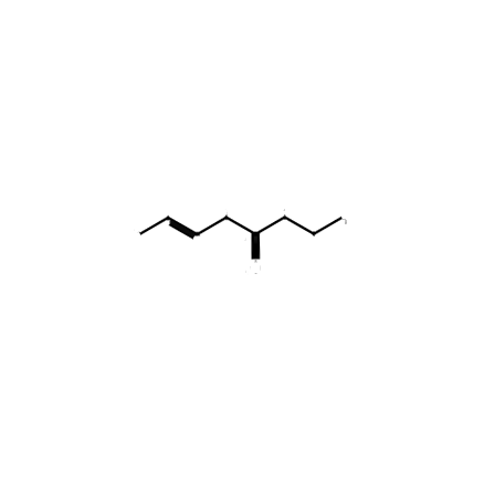 C/C=C/CC(=O)CCC